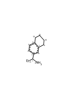 CCC(N)c1ccc2c(c1)CCCC2